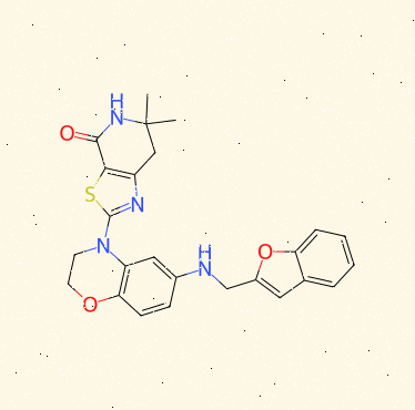 CC1(C)Cc2nc(N3CCOc4ccc(NCc5cc6ccccc6o5)cc43)sc2C(=O)N1